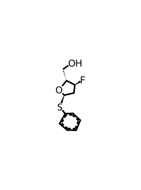 OC[C@H]1O[C@H](Sc2ccccc2)C[C@@H]1F